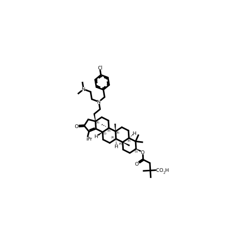 CC(C)C1=C2[C@H]3CC[C@@H]4[C@@]5(C)CC[C@H](OC(=O)CC(C)(C)C(=O)O)C(C)(C)[C@@H]5CC[C@@]4(C)[C@]3(C)CC[C@@]2(CCN(CCN(C)C)Cc2ccc(Cl)cc2)CC1=O